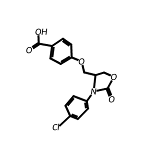 O=C(O)c1ccc(OCC2COC(=O)N2c2ccc(Cl)cc2)cc1